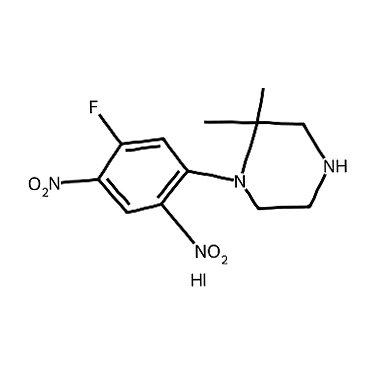 CC1(C)CNCCN1c1cc(F)c([N+](=O)[O-])cc1[N+](=O)[O-].I